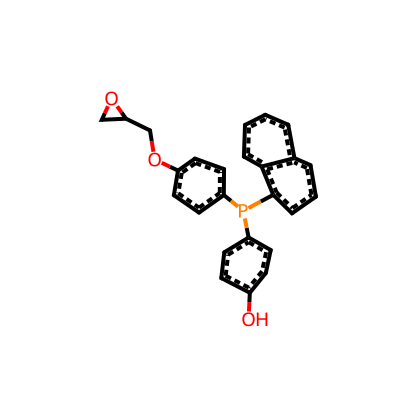 Oc1ccc(P(c2ccc(OCC3CO3)cc2)c2cccc3ccccc23)cc1